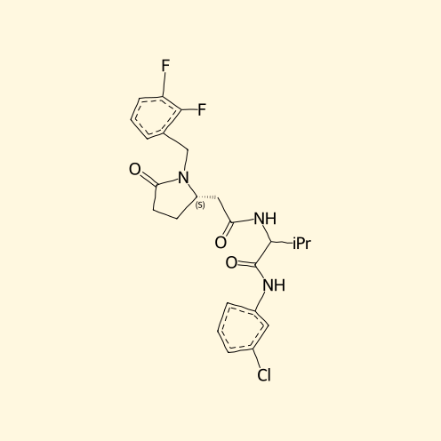 CC(C)C(NC(=O)C[C@@H]1CCC(=O)N1Cc1cccc(F)c1F)C(=O)Nc1cccc(Cl)c1